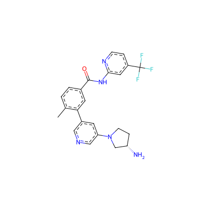 Cc1ccc(C(=O)Nc2cc(C(F)(F)F)ccn2)cc1-c1cncc(N2CC[C@H](N)C2)c1